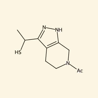 CC(=O)N1CCc2c(C(C)S)n[nH]c2C1